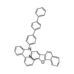 c1ccc(-c2ccc(-c3ccc(N(c4cc5c(cn4)oc4c6ccccc6ccc54)c4ccccc4-c4ccccc4)cc3)cc2)cc1